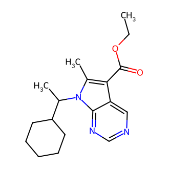 CCOC(=O)c1c(C)n(C(C)C2CCCCC2)c2ncncc12